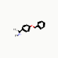 CC(C)NC(c1ccc(OCc2ccccc2)cc1)C(Cl)(Cl)Cl